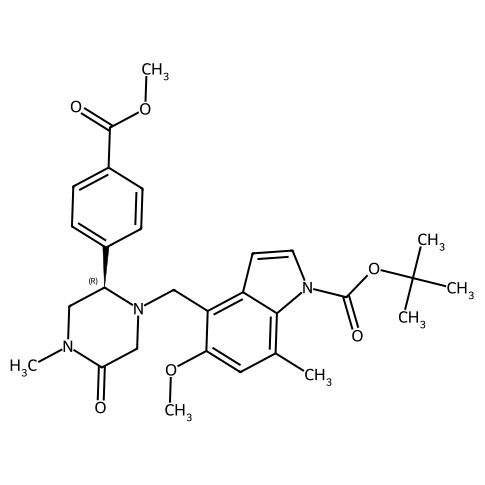 COC(=O)c1ccc([C@@H]2CN(C)C(=O)CN2Cc2c(OC)cc(C)c3c2ccn3C(=O)OC(C)(C)C)cc1